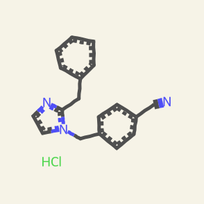 Cl.N#Cc1ccc(Cn2ccnc2Cc2ccccc2)cc1